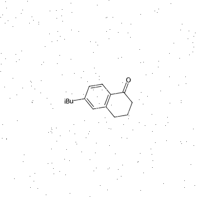 CCC(C)c1ccc2c(c1)CCCC2=O